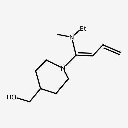 C=C/C=C(\N(C)CC)N1CCC(CO)CC1